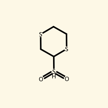 O=[SH](=O)C1CSCCS1